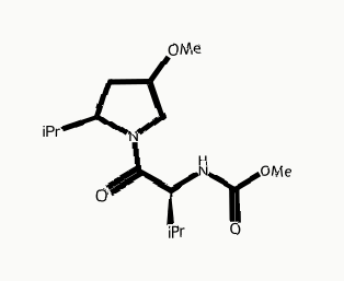 COC(=O)N[C@H](C(=O)N1CC(OC)CC1C(C)C)C(C)C